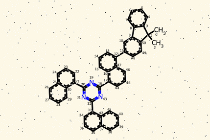 CC1(C)c2ccccc2-c2cc(-c3cccc4c(-c5nc(-c6cccc7ccccc67)nc(-c6cccc7ccccc67)n5)cccc34)ccc21